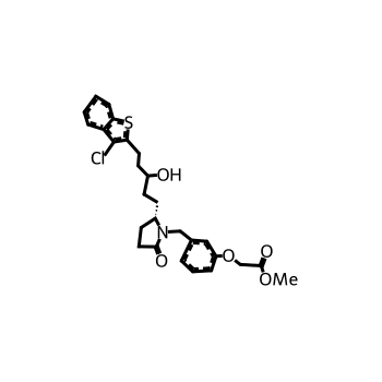 COC(=O)COc1cccc(CN2C(=O)CC[C@@H]2CCC(O)CCc2sc3ccccc3c2Cl)c1